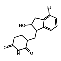 CCc1cccc2c1CC(O)C2CC1CCC(=O)NC1=O